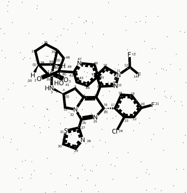 O=S(=O)(N[C@H]1CC2=C(c3ccn(C(F)F)n3)[C@H](c3ccc(F)cc3Cl)N=C(c3nccs3)N2C1)[C@H]1C2CC[C@H]1C[C@@](O)(c1ccccn1)C2